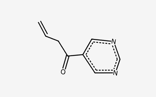 C=CCC(=O)c1cncnc1